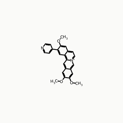 COc1cc2cc3c4cc(-c5ccncc5)c(OC)cc4cc[n+]3cc2cc1OC